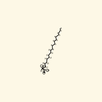 CCCCCCCCCCCCCCCCCCC(C)(O)P(=O)=O